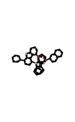 c1ccc(-c2nc(-c3ccc4ccccc4c3)nc(-c3cccc4oc5c(-c6ccccc6)ccc(-n6c7ccccc7c7ccccc76)c5c34)n2)cc1